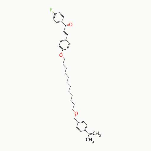 C=C(C)c1ccc(COCCCCCCCCCCCCOc2ccc(/C=C/C(=O)c3ccc(F)cc3)cc2)cc1